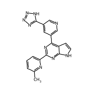 Cc1cccc(-c2nc(-c3cncc(-c4nnn[nH]4)c3)c3cc[nH]c3n2)n1